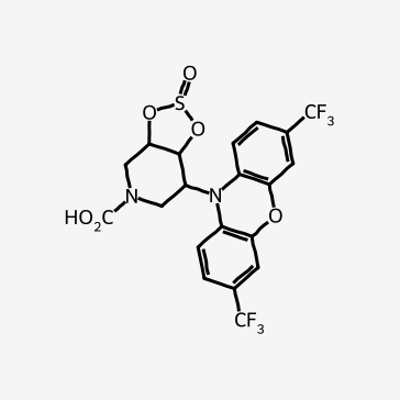 O=C(O)N1CC2OS(=O)OC2C(N2c3ccc(C(F)(F)F)cc3Oc3cc(C(F)(F)F)ccc32)C1